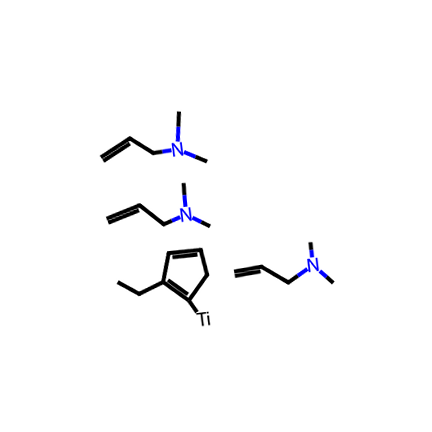 C=CCN(C)C.C=CCN(C)C.C=CCN(C)C.CCC1=[C]([Ti])CC=C1